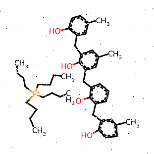 CCCC[P+](CCCC)(CCCC)CCCC.Cc1ccc(O)c(Cc2cccc(Cc3cc(C)cc(Cc4cc(C)ccc4O)c3O)c2[O-])c1